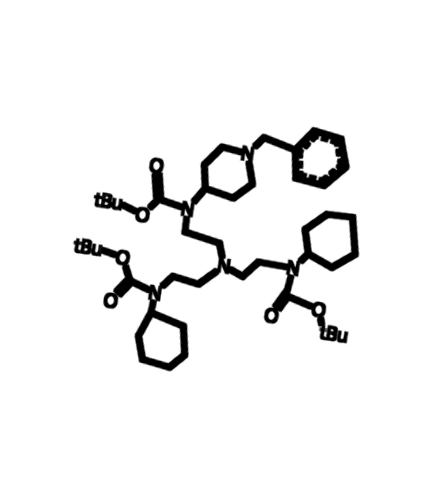 CC(C)(C)OC(=O)N(CCN(CCN(C(=O)OC(C)(C)C)C1CCCCC1)CCN(C(=O)OC(C)(C)C)C1CCN(Cc2ccccc2)CC1)C1CCCCC1